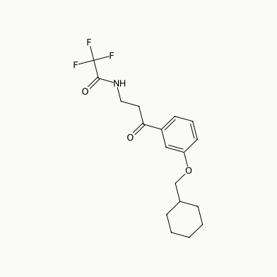 O=C(CCNC(=O)C(F)(F)F)c1cccc(OCC2CCCCC2)c1